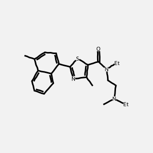 CCN(C)CCN(CC)C(=O)c1sc(-c2ccc(C)c3ccccc23)nc1C